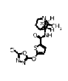 C[C@H]1[C@H](NC(=O)c2ccc(Oc3nnc(Cl)o3)s2)C2CCN1CC2